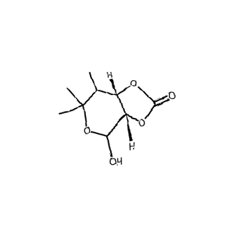 CC1[C@@H]2OC(=O)O[C@@H]2C(O)OC1(C)C